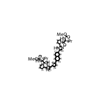 COC(=O)N[C@H](C(=O)N1CCCC1c1ncc(-c2ccc3cc(-c4ccc(-c5cnc(C6CCCN6C(=O)[C@@H](NC(=O)OC)C(C)C)[nH]5)s4)ccc3c2)[nH]1)C(C)C